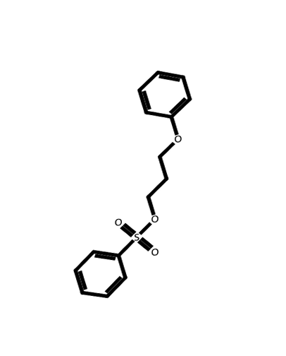 O=S(=O)(OCCCOc1ccccc1)c1ccccc1